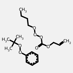 C=CCOC(=O)OOOCCCC.CC(C)(C)OOc1ccccc1